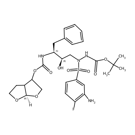 CC(C)(C)OC(=O)NN(C[C@@H](O)[C@H](Cc1ccccc1)NC(=O)OC1CO[C@H]2OCCC12)S(=O)(=O)c1ccc(F)c(N)c1